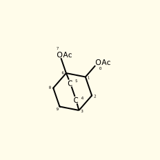 CC(=O)OC1CC2CCC1(OC(C)=O)CC2